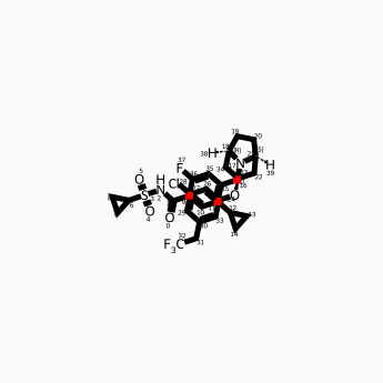 O=C(NS(=O)(=O)C1CC1)c1cc(C2CC2)c(CN2[C@@H]3CC[C@H]2C[C@@H](Oc2cc(Cl)cc(CC(F)(F)F)c2)C3)cc1F